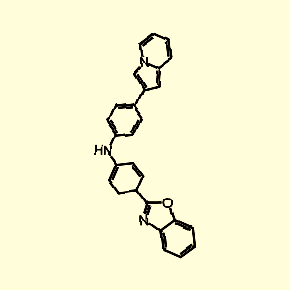 C1=CC(c2nc3ccccc3o2)CC=C1Nc1ccc(-c2cc3ccccn3c2)cc1